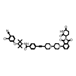 CC1(C)[C@H](NC(=O)c2ccc(C#CC3CCN(C4CCN(c5cccc6c5C(=O)N(C5CCC(=O)NC5=O)C6=O)CC4)CC3)cc2)C(C)(C)[C@H]1Oc1ccc(C#N)c(Cl)c1